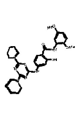 COc1ccc(OC)c(NC(=O)c2ccc(Nc3nc(N4CCCCC4)nc(N4CCCCC4)n3)cc2O)c1